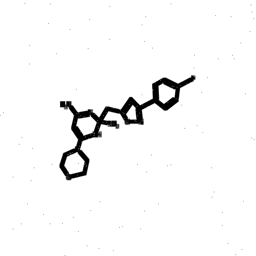 NC1=NC(N)(Cc2cc(-c3ccc(F)cc3)no2)NC(N2CCOCC2)=C1